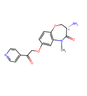 CN1C(=O)[C@@H](N)COc2ccc(OCC(=O)c3ccncc3)cc21